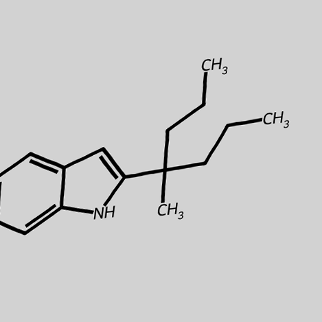 CCCC(C)(CCC)c1cc2ccccc2[nH]1